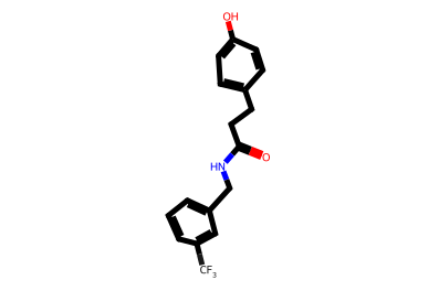 O=C(CCc1ccc(O)cc1)NCc1cccc(C(F)(F)F)c1